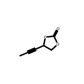 CC#CC1COC(=O)O1